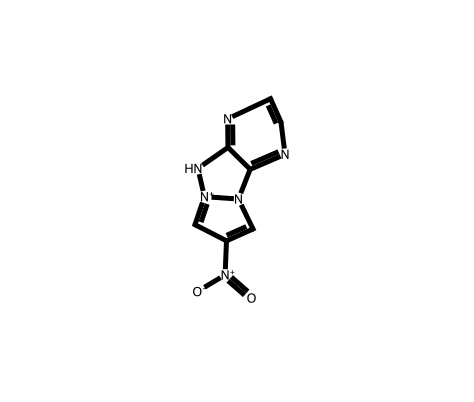 O=[N+]([O-])c1cn2c3nccnc3[nH][n+]2c1